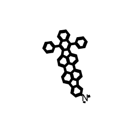 CN(C)c1ccc2c(c1)-c1ccc3c4ccc5c6c(ccc(c7ccc-2c1c73)c64)-c1c-5c(-c2ccccc2)c2ccccc2c1-c1ccccc1